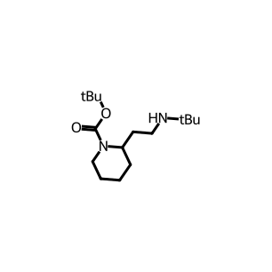 CC(C)(C)NCCC1CCCCN1C(=O)OC(C)(C)C